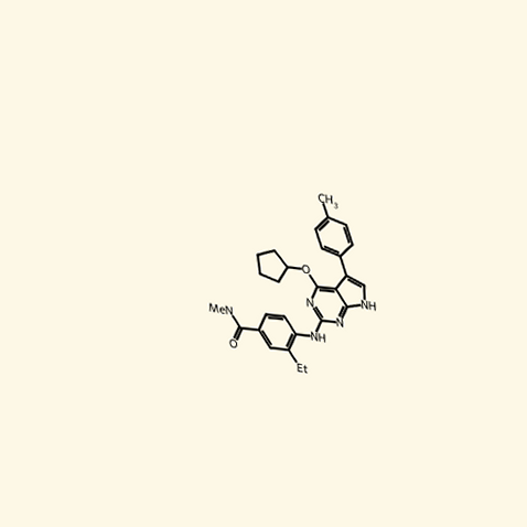 CCc1cc(C(=O)NC)ccc1Nc1nc(OC2CCCC2)c2c(-c3ccc(C)cc3)c[nH]c2n1